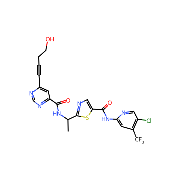 CC(NC(=O)c1cc(C#CCCO)ncn1)c1ncc(C(=O)Nc2cc(C(F)(F)F)c(Cl)cn2)s1